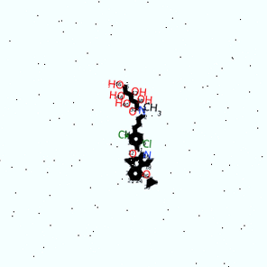 CN(CCCCc1cc(Cl)c(COC2(c3cnccc3-c3ccccc3OC3CC3)CC2)cc1Cl)C(=O)[C@H](O)[C@H](O)[C@@H](O)[C@H](O)CO